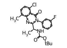 Cc1ccc(Cl)c2c(=O)n(-c3cccc(F)c3)c([C@H](C)NC(=O)OC(C)(C)C)nc12